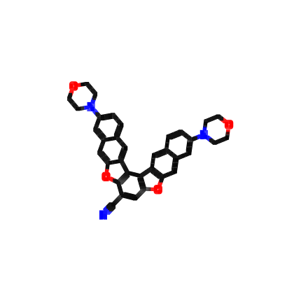 N#Cc1cc2oc3cc4cc(N5CCOCC5)ccc4cc3c2c2c1oc1cc3cc(N4CCOCC4)ccc3cc12